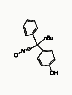 CCCCC(C#[N+][O-])(c1ccccc1)c1ccc(O)cc1